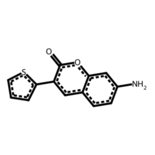 Nc1ccc2cc(-c3cccs3)c(=O)oc2c1